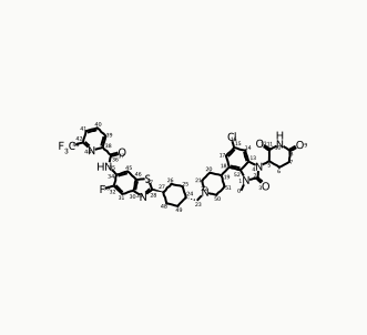 Cn1c(=O)n(C2CCC(=O)NC2=O)c2cc(Cl)cc(C3CCN(C[C@H]4CC[C@H](c5nc6cc(F)c(NC(=O)c7cccc(C(F)(F)F)n7)cc6s5)CC4)CC3)c21